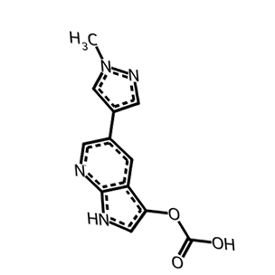 Cn1cc(-c2cnc3[nH]cc(OC(=O)O)c3c2)cn1